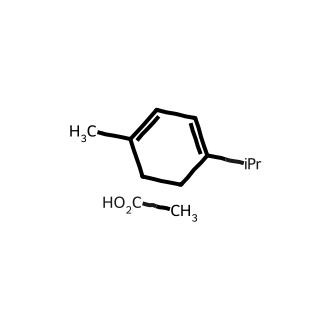 CC(=O)O.CC1=CC=C(C(C)C)CC1